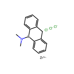 CN(C)B1c2ccccc2Cc2ccccc21.[Cl-].[Cl-].[Cl-].[Zr+3]